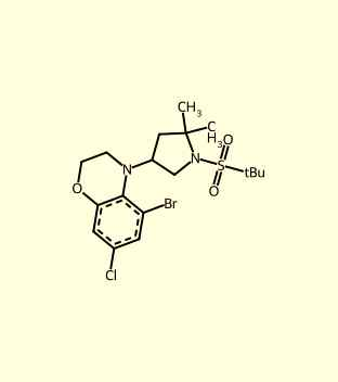 CC1(C)CC(N2CCOc3cc(Cl)cc(Br)c32)CN1S(=O)(=O)C(C)(C)C